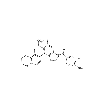 COc1ccc(C(=O)N2CCc3c2cc(C)c(CC(=O)O)c3-c2ccc3c(c2C)CCCO3)cc1C